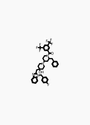 O=C(c1cc(C(F)(F)F)cc(C(F)(F)F)c1)N1CCC(N2CCC(O)(Cc3nc4ccccc4n3Cc3ccc(F)cc3)CC2)CC1Cc1ccccc1